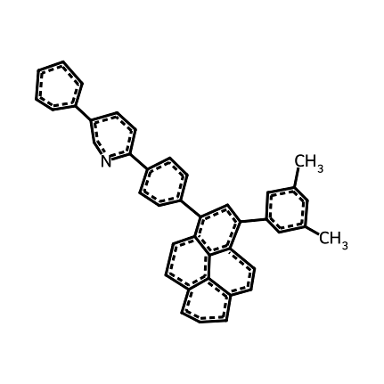 Cc1cc(C)cc(-c2cc(-c3ccc(-c4ccc(-c5ccccc5)cn4)cc3)c3ccc4cccc5ccc2c3c45)c1